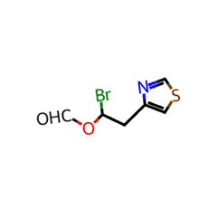 O=COC(Br)Cc1cscn1